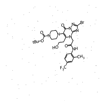 Cc1cc(C(F)(F)F)ccc1NC(=O)Cn1c(CCO)c(N2CCN(C(=O)OC(C)(C)C)CC2)c(=O)n2nc(Br)nc12